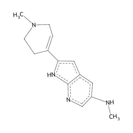 CNc1cnc2[nH]c(C3=CCN(C)CC3)cc2c1